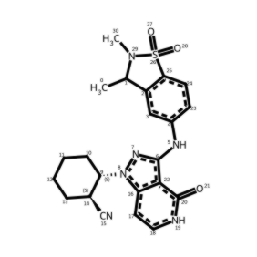 CC1c2cc(Nc3nn([C@H]4CCCC[C@@H]4C#N)c4cc[nH]c(=O)c34)ccc2S(=O)(=O)N1C